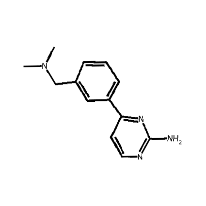 CN(C)Cc1cccc(-c2ccnc(N)n2)c1